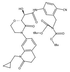 CC(C)(C)OC(=O)N(Cc1cc(NC(=O)[C@H](O)[C@H]2OCCN(c3ccc4c(c3)N(CC3CC3)C(=O)CC4)C2=O)ccc1C#N)C(=O)OC(C)(C)C